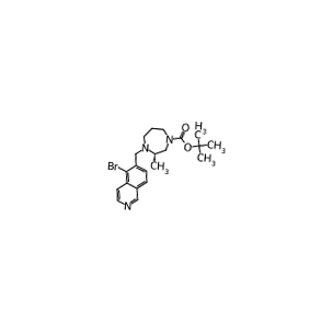 C[C@@H]1CN(C(=O)OC(C)(C)C)CCCN1Cc1ccc2cnccc2c1Br